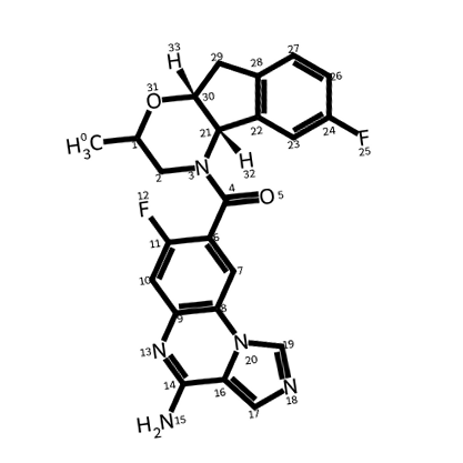 CC1CN(C(=O)c2cc3c(cc2F)nc(N)c2cncn23)[C@H]2c3cc(F)ccc3C[C@H]2O1